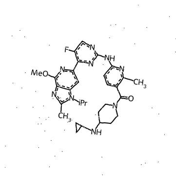 COc1nc(-c2nc(Nc3ccc(C(=O)N4CCC(NC5CC5)CC4)c(C)n3)ncc2F)cc2c1nc(C)n2C(C)C